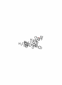 Cc1ncnc(C(=O)N2CCC(n3c4c(c5nc(C6=CCOCC6)nn5c3=O)C(C(=O)Nc3ccc(C(F)(F)F)cc3Cl)CC4C)CC2C)c1O